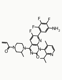 C=CC(=O)N1CCN(c2nc(=O)n(-c3c(C)ccnc3C(C)C)c3nc(-c4cc(N)c(F)c(F)c4F)c(F)cc23)C(C)C1